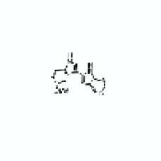 COc1ccc2[nH]cc(-c3cc4cncnc4[nH]3)c2c1